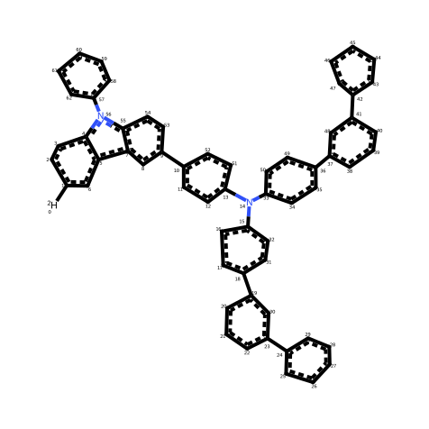 [2H]c1ccc2c(c1)c1cc(-c3ccc(N(c4ccc(-c5cccc(-c6ccccc6)c5)cc4)c4ccc(-c5cccc(-c6ccccc6)c5)cc4)cc3)ccc1n2-c1ccccc1